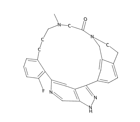 CN1CCCc2cccc(F)c2-c2cc3c(n[nH]c3cn2)-c2ccc3c(c2)CN(CC3)C(=O)C1